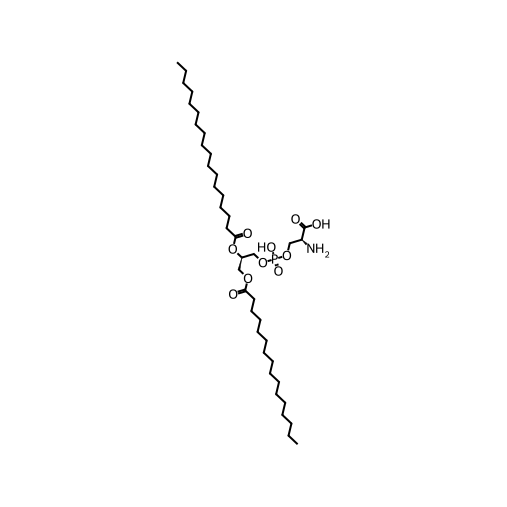 CCCCCCCCCCCCCCCCCC(=O)O[C@H](COC(=O)CCCCCCCCCCCCCCC)COP(=O)(O)OC[C@H](N)C(=O)O